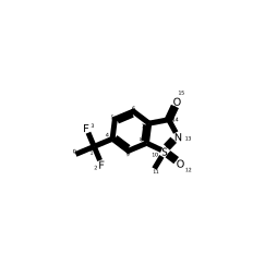 CC(F)(F)c1ccc2c(c1)S(C)(=O)=NC2=O